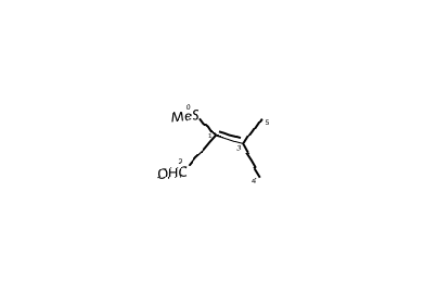 CSC(C=O)=C(C)C